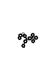 c1ccc(-c2ccc(N(c3ccc([Si](c4ccccc4)(c4ccccc4)c4ccccc4)cc3)c3ccc4oc5ccc6ccccc6c5c4c3)cc2)cc1